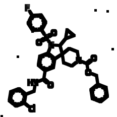 O=C(NCc1ccccc1Cl)c1ccc2c(c1)C1(CCN(C(=O)OCc3ccccc3)CC1)C(C1CC1)N2S(=O)(=O)c1ccc(F)cc1